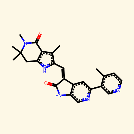 Cc1ccncc1-c1cc2c(cn1)NC(=O)C2=Cc1[nH]c2c(c1C)C(=O)N(C)C(C)(C)C2